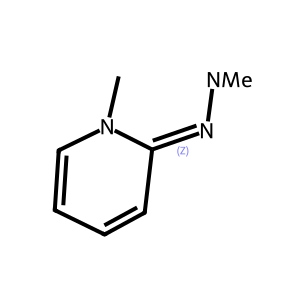 CN/N=c1/ccccn1C